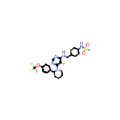 CS(=O)(=O)NC1CCC(CNc2ncnc(N3CCCCC3c3ccc(OC(F)(F)F)cc3)c2F)CC1